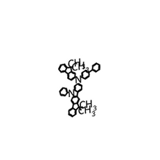 CC1(C)c2ccccc2-c2ccc(N(c3ccc(-c4ccccc4)cc3)c3ccc4c5cc6c(cc5n(-c5ccccc5)c4c3)-c3ccccc3C6(C)C)cc21